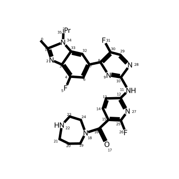 Cc1nc2c(F)cc(-c3nc(Nc4ccc(C(=O)N5CCCNCC5)c(F)n4)ncc3F)cc2n1C(C)C